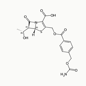 C[C@@H](O)[C@H]1C(=O)N2C(C(=O)O)=C(COC(=O)c3ccc(COC(N)=O)cc3)S[C@H]12